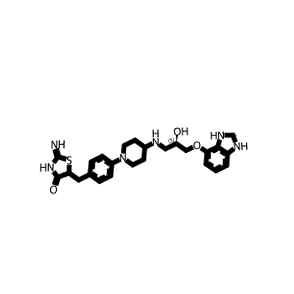 N=C1NC(=O)C(Cc2ccc(N3CCC(NC[C@H](O)COc4cccc5c4N[CH]N5)CC3)cc2)S1